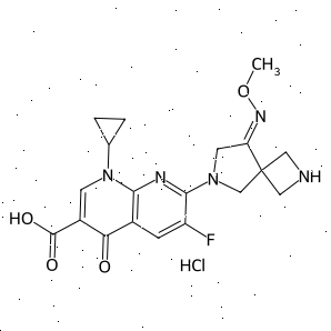 CON=C1CN(c2nc3c(cc2F)c(=O)c(C(=O)O)cn3C2CC2)CC12CNC2.Cl